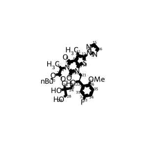 CCCCOC(=O)C(C)n1c(=O)c2c(C)c(-n3nccn3)sc2n(C[C@H](OCC(C)(O)CO)c2cc(F)ccc2OC)c1=O